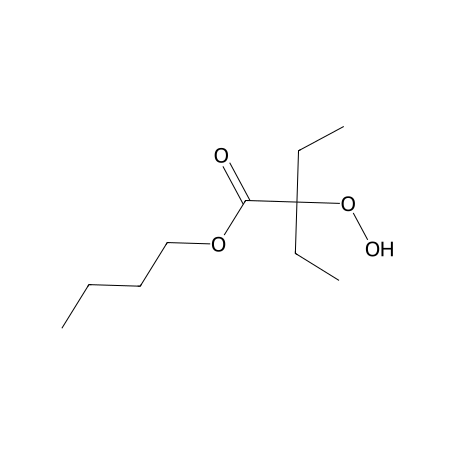 CCCCOC(=O)C(CC)(CC)OO